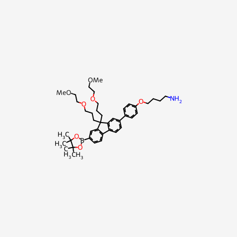 COCCOCCCC1(CCCOCCOC)c2cc(B3OC(C)(C)C(C)(C)O3)ccc2-c2ccc(-c3ccc(OCCCCN)cc3)cc21